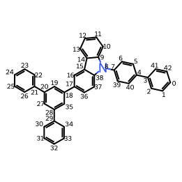 c1ccc(-c2ccc(-n3c4ccccc4c4cc(-c5cc(-c6ccccc6)cc(-c6ccccc6)c5)ccc43)cc2)cc1